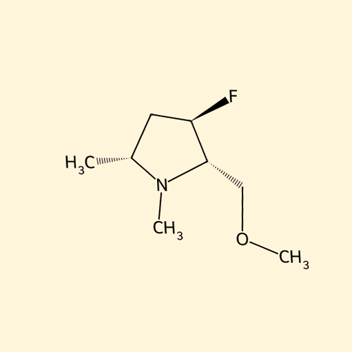 COC[C@H]1[C@H](F)C[C@@H](C)N1C